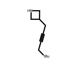 CC(C)(C)CC#CCC1CNC1